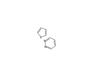 c1ccnnc1.c1ccsc1